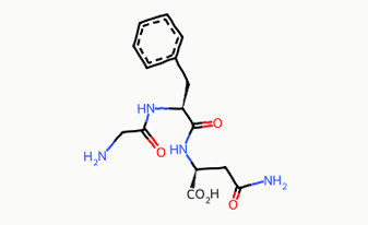 NCC(=O)N[C@@H](Cc1ccccc1)C(=O)N[C@@H](CC(N)=O)C(=O)O